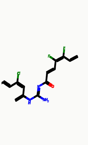 C=C/C(F)=C(F)\C=C\C(=O)/N=C(\N)NC(=C)/C=C(Cl)\C=C\F